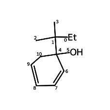 CCC(C)(C)C1(O)C=CC=CC1